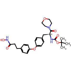 CC(C)(C)OC(=O)N[C@@H](Cc1ccc(Oc2ccc(CCC(=O)NO)cc2)cc1)C(=O)N1CCOCC1